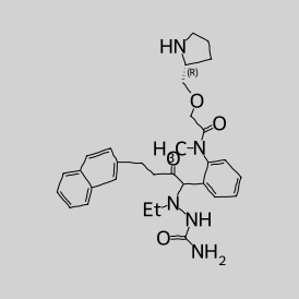 CCN(NC(N)=O)C(C(=O)CCc1ccc2ccccc2c1)c1ccccc1N(C)C(=O)COC[C@H]1CCCN1